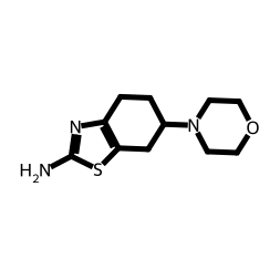 Nc1nc2c(s1)CC(N1CCOCC1)CC2